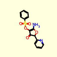 NC1=C(OS(=O)(=O)c2ccccc2)C(=O)C(c2ccccn2)O1